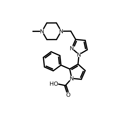 CN1CCN(Cc2ccn(-c3ccn(C(=O)O)c3-c3ccccc3)n2)CC1